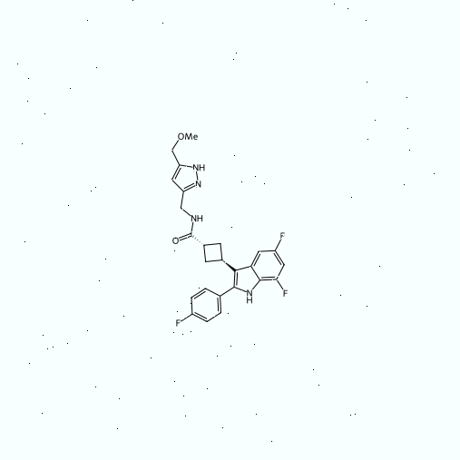 COCc1cc(CNC(=O)[C@H]2C[C@H](c3c(-c4ccc(F)cc4)[nH]c4c(F)cc(F)cc43)C2)n[nH]1